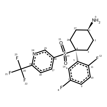 N[C@H]1CC[C@@](c2cc(F)ccc2F)(S(=O)(=O)c2ccc(C(F)(F)F)nc2)CC1